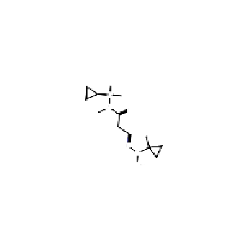 CSN(/N=[C]/[CH]C(=O)N(C)[N+](C)([S-])C1CC1)C1(C)CC1